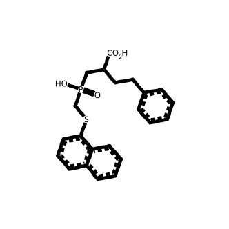 O=C(O)C(CCc1ccccc1)CP(=O)(O)CSc1cccc2ccccc12